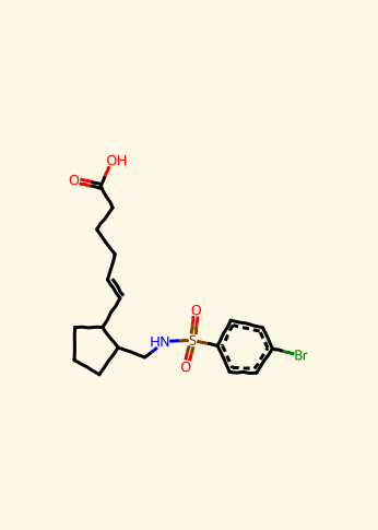 O=C(O)CCCC=CC1CCCC1CNS(=O)(=O)c1ccc(Br)cc1